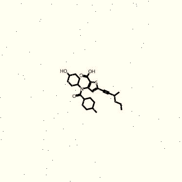 CCCC(C)C#Cc1cc(N(C(=O)C2CCC(C)CC2)C2CCC(O)CC2)c(C(=O)O)s1